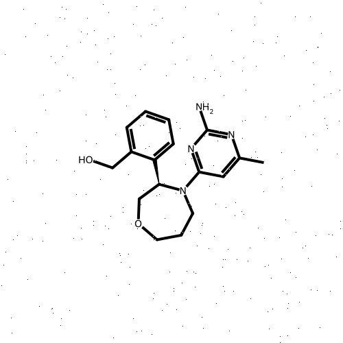 Cc1cc(N2CCCOC[C@H]2c2ccccc2CO)nc(N)n1